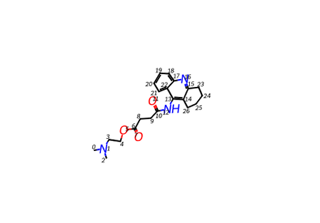 CN(C)CCOC(=O)CCC(=O)Nc1c2c(nc3ccccc13)CCCC2